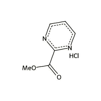 COC(=O)c1ncccn1.Cl